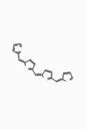 C1=CC(=CC2=NC(=CC3=NC(=Cc4ccc[nH]4)C=C3)C=C2)N=C1.[U]